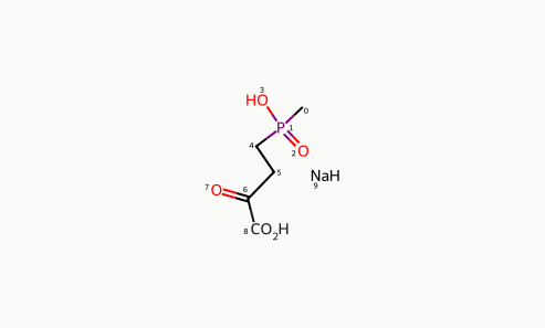 CP(=O)(O)CCC(=O)C(=O)O.[NaH]